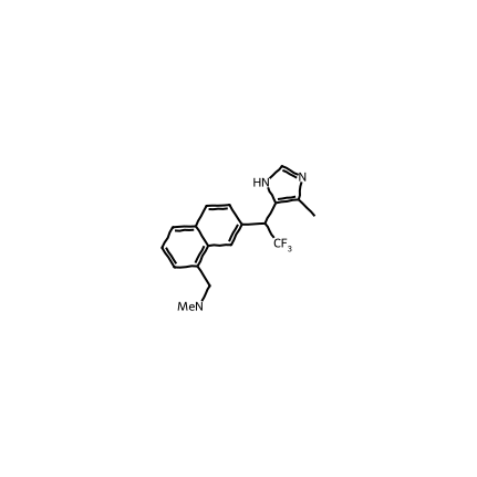 CNCc1cccc2ccc(C(c3[nH]cnc3C)C(F)(F)F)cc12